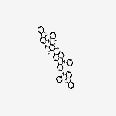 Fc1c(F)c(N(c2ccccc2)c2cccc3c2oc2ccccc23)c(F)c(F)c1-c1ccc2c3c(cccc13)N(c1ccccc1)c1cc(N(c3ccccc3)c3cccc4c3oc3ccccc34)ccc1-2